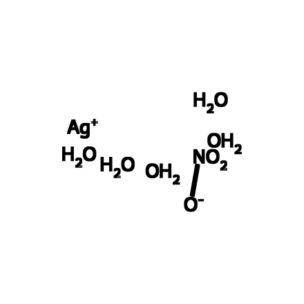 O.O.O.O.O.O=[N+]([O-])[O-].[Ag+]